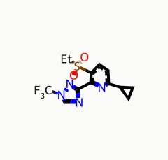 CCS(=O)(=O)c1ccc(C2CC2)nc1-c1ncn(C(F)(F)F)n1